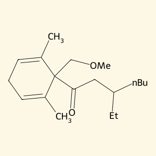 CCCCC(CC)CC(=O)C1(COC)C(C)=CCC=C1C